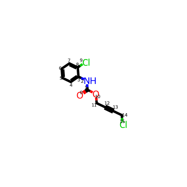 O=C(Nc1ccccc1Cl)OCC#CCCl